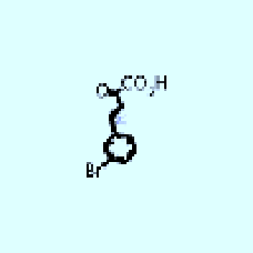 O=C(O)C(=O)/C=C/c1cccc(Br)c1